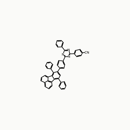 N#Cc1ccc(-c2nc(-c3ccccc3)nc(-c3ccc(-c4cc(-c5ccccc5)c5c(c4-c4ccccc4)-c4cccc6cccc-5c46)cc3)n2)cc1